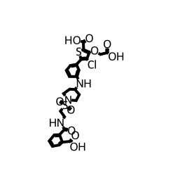 O=C(O)COc1c(C(=O)O)sc(-c2cccc(NC3CCN(S(=O)(=O)CCNC(=O)c4ccccc4C(=O)O)CC3)c2)c1Cl